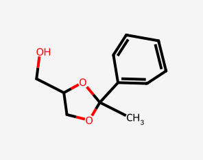 CC1(c2ccccc2)OCC(CO)O1